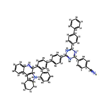 N#Cc1ccc(-c2nc(-c3ccc(-c4ccccc4)cc3)nc(-c3ccc(-c4ccc(-c5nc6ccccc6c6c7c(n(-c8ccccc8)c56)CCC=C7)cc4)cc3)n2)cc1